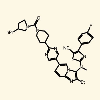 CCCC1CCN(C(=O)N2CCC(c3ncc(-c4ccc5nc(CC)c(N(C)c6nc(-c7ccc(F)cc7)c(C#N)s6)n5c4)cn3)CC2)C1